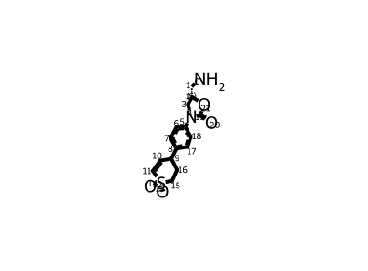 NC[C@H]1CN(c2ccc(C3C=CS(=O)(=O)CC3)cc2)C(=O)O1